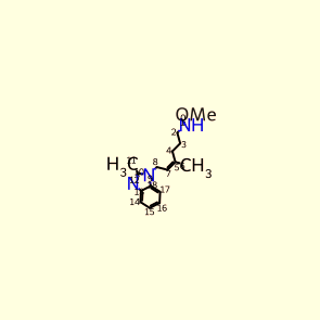 CONCCCC(C)=CCn1c(C)nc2ccccc21